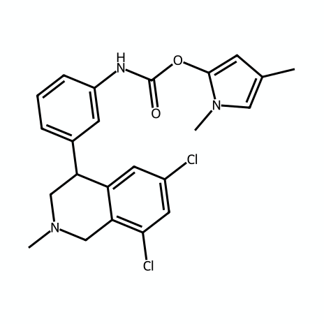 Cc1cc(OC(=O)Nc2cccc(C3CN(C)Cc4c(Cl)cc(Cl)cc43)c2)n(C)c1